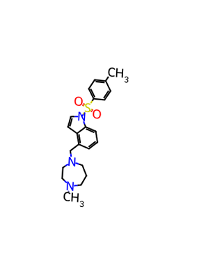 Cc1ccc(S(=O)(=O)n2ccc3c(CN4CCCN(C)CC4)cccc32)cc1